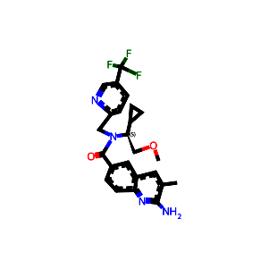 COC[C@H](C1CC1)N(Cc1ccc(C(F)(F)F)cn1)C(=O)c1ccc2nc(N)c(C)cc2c1